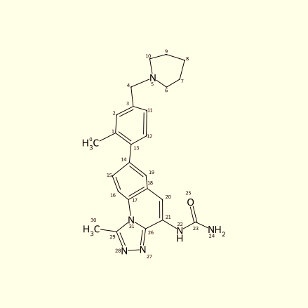 Cc1cc(CN2CCCCC2)ccc1-c1ccc2c(c1)cc(NC(N)=O)c1nnc(C)n12